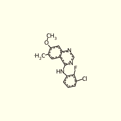 [CH2]c1cc2c(Nc3cccc(Cl)c3F)ncnc2cc1OC